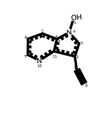 C#Cc1cn(O)c2cccnc12